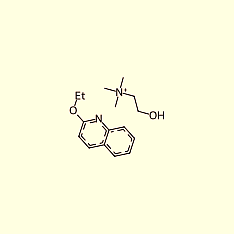 CCOc1ccc2ccccc2n1.C[N+](C)(C)CCO